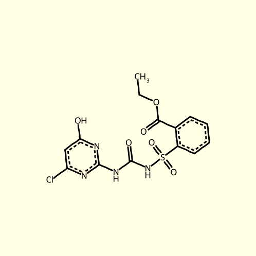 CCOC(=O)c1ccccc1S(=O)(=O)NC(=O)Nc1nc(O)cc(Cl)n1